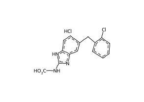 Cl.O=C(O)Nc1nc2cc(Cc3ccccc3Cl)ccc2[nH]1